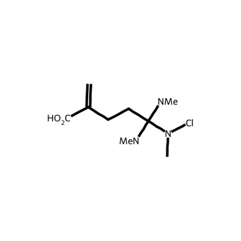 C=C(CCC(NC)(NC)N(C)Cl)C(=O)O